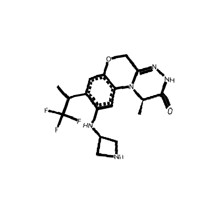 CC(c1cc2c(cc1NC1CNC1)N1C(=NNC(=O)[C@H]1C)CO2)C(F)(F)F